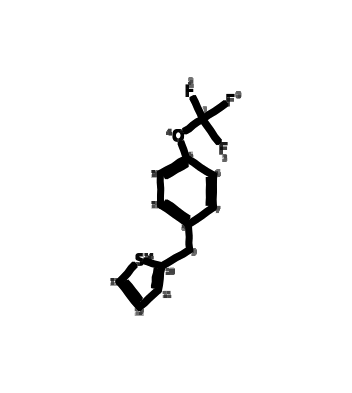 FC(F)(F)Oc1ccc(Cc2cccs2)cc1